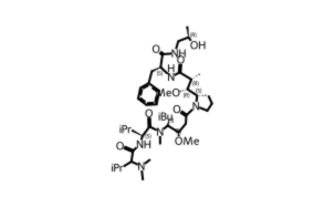 CC[C@H](C)C([C@@H](CC(=O)N1CCC[C@H]1[C@H](OC)[C@@H](C)C(=O)N[C@@H](Cc1ccccc1)C(=O)NC[C@@H](C)O)OC)N(C)C(=O)[C@@H](NC(=O)C(C(C)C)N(C)C)C(C)C